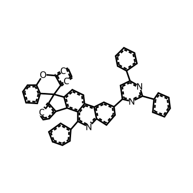 c1ccc(-c2cc(-c3ccc4nc(-c5ccccc5)c5c6c(ccc5c4c3)C3(c4ccccc4Oc4ccccc43)c3ccccc3-6)nc(-c3ccccc3)n2)cc1